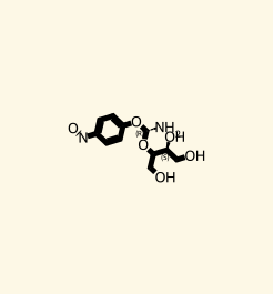 N[C@@H](Oc1ccc(N=O)cc1)OC(CO)[C@@H](O)CO